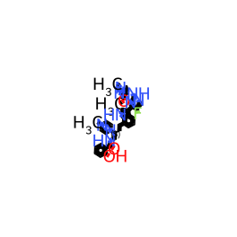 COc1nn(C)cc1Nc1ncc(F)c(-c2c[nH]c3c(CC[C@@H](CNC(=O)c4ccccc4O)N4CCN(C)CC4)cccc23)n1